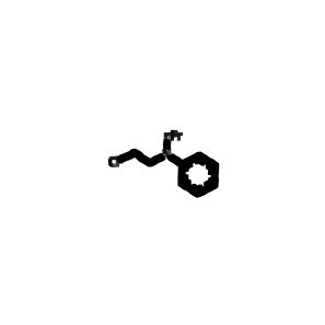 CCCN(CCCl)c1ccccc1